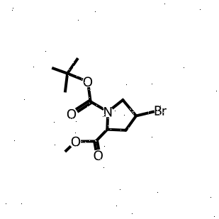 COC(=O)C1CC(Br)CN1C(=O)OC(C)(C)C